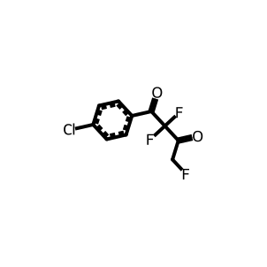 O=C(CF)C(F)(F)C(=O)c1ccc(Cl)cc1